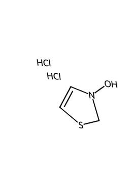 Cl.Cl.ON1C=CSC1